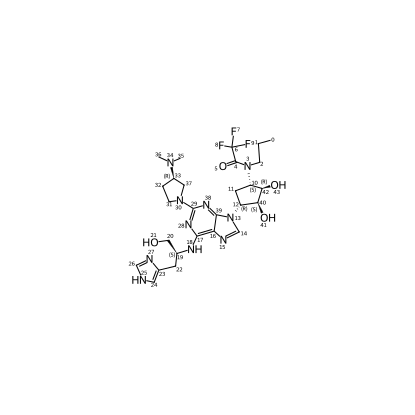 CCCN(C(=O)C(F)(F)F)[C@H]1C[C@@H](n2cnc3c(N[C@H](CO)Cc4c[nH]cn4)nc(N4CC[C@@H](N(C)C)C4)nc32)[C@H](O)[C@@H]1O